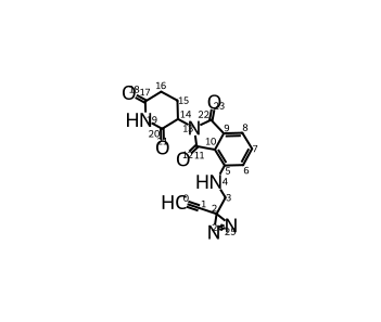 C#CC1(CNc2cccc3c2C(=O)N(C2CCC(=O)NC2=O)C3=O)N=N1